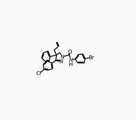 C=CCC1(c2ccccc2)CN(C(=O)Nc2ccc(Br)cc2)N=C1c1ccc(Cl)cc1